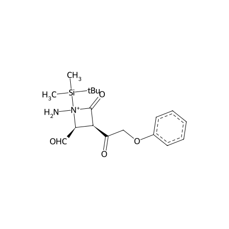 CC(C)(C)[Si](C)(C)[N+]1(N)C(=O)[C@@H](C(=O)COc2ccccc2)[C@H]1C=O